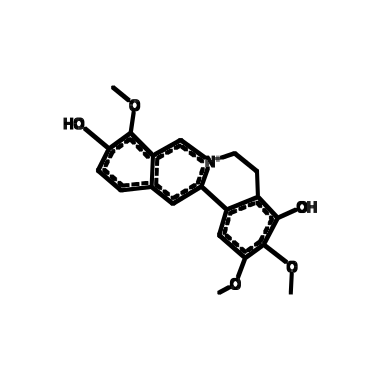 COc1cc2c(c(O)c1OC)CC[n+]1cc3c(OC)c(O)ccc3cc1-2